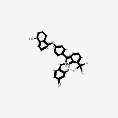 O[C@H]1CCCc2c(Oc3ccc(-c4c5cccc(C(F)(F)F)c5nn4Cc4ccc(Cl)cc4F)cc3)cccc21